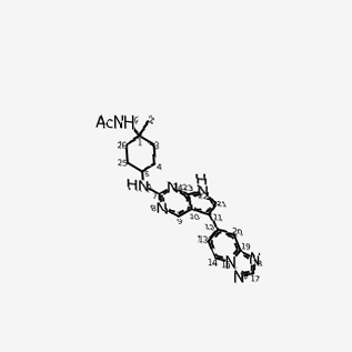 CC(=O)NC1(C)CCC(Nc2ncc3c(-c4ccn5ncnc5c4)c[nH]c3n2)CC1